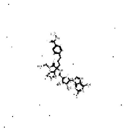 CCOC(=O)C(CCCc1ccc(C(=O)OC)cc1)(OC[C@H]1O[C@@H](n2cnc3c(N)nc(Cl)nc32)[C@H](O)[C@@H]1O)c1nn[nH]n1